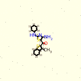 Cc1c(C(=O)c2sc(Nc3ccccc3)nc2N)sc2ccccc12